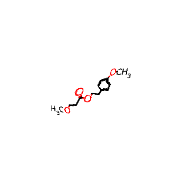 COCCC(=O)OCCc1ccc(OC)cc1